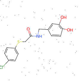 O=C(CSc1ccc(Cl)cc1)NCc1ccc(O)c(O)c1